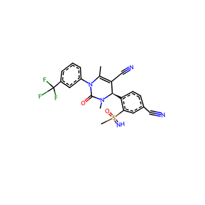 CC1=C(C#N)[C@@H](c2ccc(C#N)cc2S(C)(=N)=O)N(C)C(=O)N1c1cccc(C(F)(F)F)c1